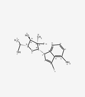 CC(O)[C@H]1O[C@@H](n2cc(I)c3c(N)ccnc32)[C@](C)(F)[C@@H]1O